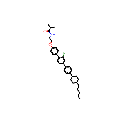 C=C(C)C(=O)NCCOc1ccc(-c2ccc(-c3ccc(C4CCC(CCCCC)CC4)cc3)cc2F)cc1